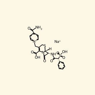 NC(=O)c1cc[n+](CC2=C(C(=O)O)N3C(=O)[C@@H](NC(=O)[C@@H](c4ccccc4)S(=O)(=O)O)[C@H]3SC2)cc1.[Na+]